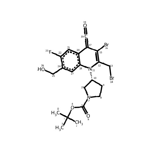 CC(C)(C)OC(=O)N1CC[C@@H](N2C(CBr)=C(Br)C(=C=O)c3cc(F)c(CO)cc32)C1